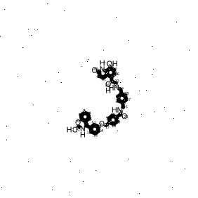 O=C(O)N[C@@H](c1ccccc1)c1cccc(OCc2ccc(C(=O)NCc3ccc(CNCC(O)c4ccc(O)c5[nH]c(=O)ccc45)cc3)cc2)c1